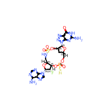 Nc1nc2c(nnn2[C@@H]2O[C@@H]3CO[P@@](=O)(S)O[C@H]4[C@H](F)[C@H](n5cnc6c(N)ncnc65)O[C@@H]4CNS(=O)(=O)O[C@@H]2C3)c(=O)[nH]1